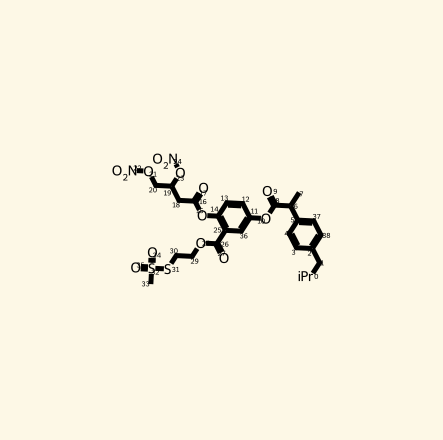 CC(C)Cc1ccc(C(C)C(=O)Oc2ccc(OC(=O)CC(CO[N+](=O)[O-])O[N+](=O)[O-])c(C(=O)OCCSS(C)(=O)=O)c2)cc1